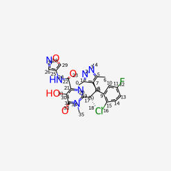 Cc1nn(C)c(C)c1[C@@H](c1cc(F)ccc1Cl)[C@H](C)c1nc(C(=O)Nc2cnoc2)c(O)c(=O)n1C